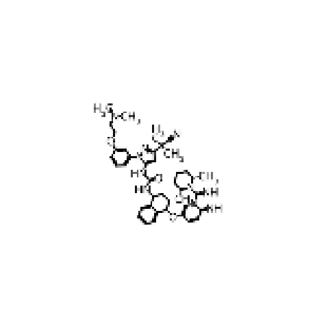 C[C@@H]1CCC[C@H](C)N1C(=N)n1cc(O[C@@H]2CCC(NC(=O)Nc3cc(C(C)(C)C#N)nn3-c3cccc(OCCN(C)C)c3)c3ccccc32)ccc1=N